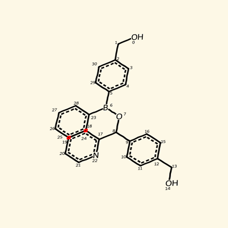 OCc1ccc(B(OC(c2ccc(CO)cc2)c2ccccn2)c2ccccc2)cc1